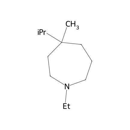 CCN1CCCC(C)(C(C)C)CC1